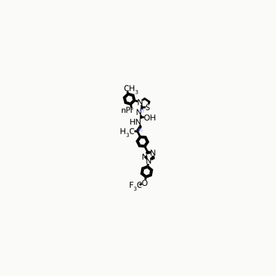 CCCc1ccc(C)cc1N1CCS/C1=N\C(O)N/C=C(\C)c1ccc(-c2ncn(-c3ccc(OC(F)(F)F)cc3)n2)cc1